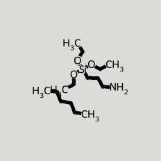 CCCCCC.CCO[Si](CCCN)(OCC)OCC